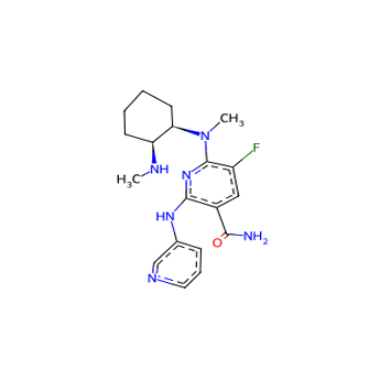 CN[C@H]1CCCC[C@H]1N(C)c1nc(Nc2cccnc2)c(C(N)=O)cc1F